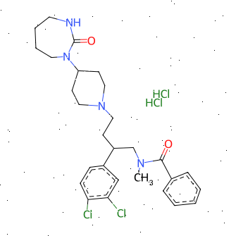 CN(CC(CCN1CCC(N2CCCCNC2=O)CC1)c1ccc(Cl)c(Cl)c1)C(=O)c1ccccc1.Cl.Cl